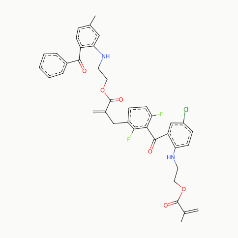 C=C(C)C(=O)OCCNc1ccc(Cl)cc1C(=O)c1c(F)ccc(CC(=C)C(=O)OCCNc2cc(C)ccc2C(=O)c2ccccc2)c1F